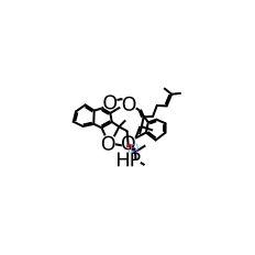 CP/C(C)=C/CC(C)(C)c1c(C)c2c3ccccc3c1OCOc1c(C)c(CCC=C(C)C)c(c3ccccc13)OCO2